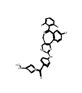 CNC1CN(C(=O)c2ccc(NC3=NC4=C(CN=C(c5c(F)cccc5F)c5cc(Cl)ccc54)CN3)cc2)C1